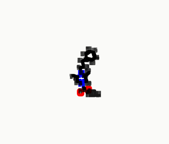 CCCCOC(=O)N1CC(C)N(CCCc2ccccc2)C(C)C1